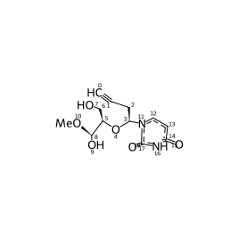 C#CC[C@H](O[C@H](CO)[C@@H](O)OC)n1ccc(=O)[nH]c1=O